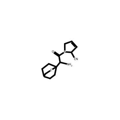 N#CC1C=CCN1C(=O)C(N)C12CCC(CC1)CC2